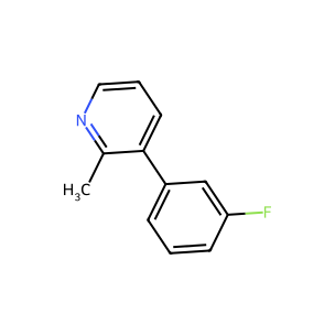 Cc1ncccc1-c1cccc(F)c1